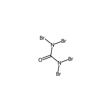 O=C(N(Br)Br)N(Br)Br